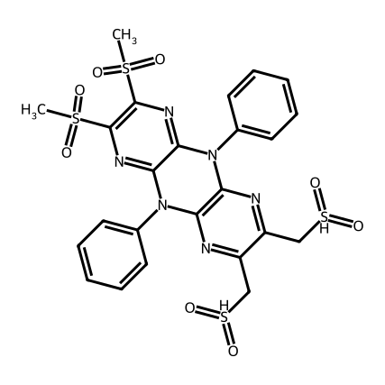 CS(=O)(=O)c1nc2c(nc1S(C)(=O)=O)N(c1ccccc1)c1nc(C[SH](=O)=O)c(C[SH](=O)=O)nc1N2c1ccccc1